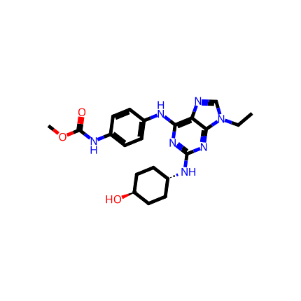 CCn1cnc2c(Nc3ccc(NC(=O)OC)cc3)nc(N[C@H]3CC[C@H](O)CC3)nc21